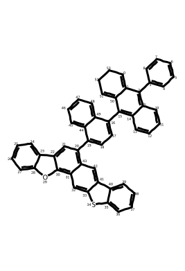 C1=c2c(-c3ccccc3)c3ccccc3c(-c3ccc(-c4cc5c6ccccc6oc5c5cc6sc7ccccc7c6cc45)c4ccccc34)c2=CCC1